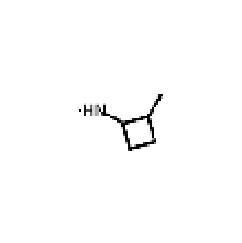 CC1CCC1[NH]